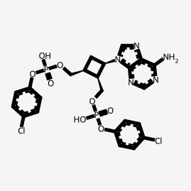 Nc1ncnc2c1ncn2[C@@H]1C[C@H](COP(=O)(O)Oc2ccc(Cl)cc2)[C@@H]1COP(=O)(O)Oc1ccc(Cl)cc1